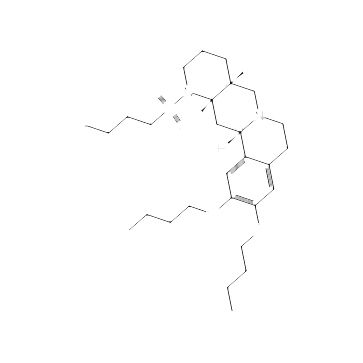 CCCCOc1cc2c(cc1OCCCC)[C@@H]1C[C@H]3[C@H](CCCN3S(=O)(=O)CCCCl)CN1CC2